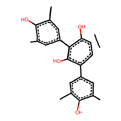 CC.Cc1cc(-c2ccc(O)c(-c3cc(C)c(O)c(C)c3)c2O)cc(C)c1O